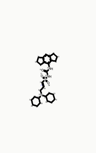 O=C(Nc1c2c(cc3c1CCC3)CCC2)NS(=O)(=O)/C=C/CN(C1CCCCC1)C1CCCCC1